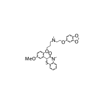 COc1ccc(OCCCN(C)CCOc2ccc3c(c2)OCO3)c(C2Sc3ccccc3N(C)C2=O)c1